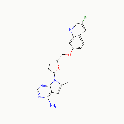 Cc1cc2c(N)ncnc2n1C1CCC(COc2ccc3cc(Br)cnc3c2)O1